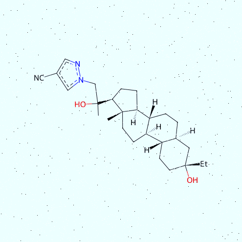 CC[C@@]1(O)CC[C@H]2[C@@H](CC[C@@H]3[C@@H]2CC[C@]2(C)[C@@H](C(C)(O)Cn4cc(C#N)cn4)CC[C@@H]32)C1